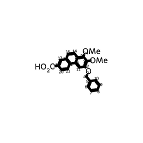 COc1c(OCc2ccccc2)cc2c(ccc3cc(C(=O)O)ccc32)c1OC